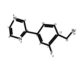 Fc1cc(-c2cnccn2)ccc1CBr